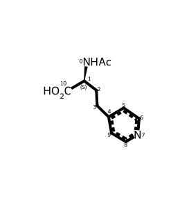 CC(=O)N[C@@H](CCc1ccncc1)C(=O)O